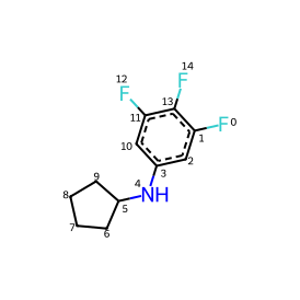 Fc1cc(NC2CCCC2)cc(F)c1F